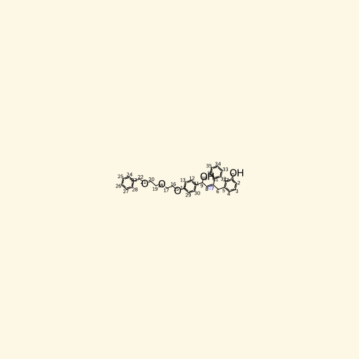 Oc1cccc(C/C(=C/C(O)c2ccc(OCCOCCOCc3ccccc3)cc2)c2ccccc2)c1